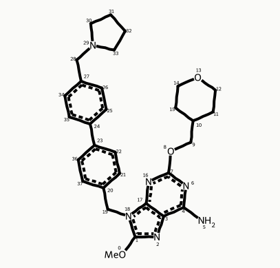 COc1nc2c(N)nc(OCC3CCOCC3)nc2n1Cc1ccc(-c2ccc(CN3CCCC3)cc2)cc1